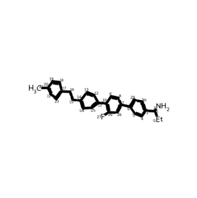 CCC(N)c1ccc(-c2ccc(-c3ccc(CCc4ccc(C)cc4)cc3)c(F)c2)cc1